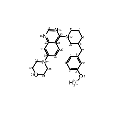 COc1cccc(CC2CCCN(c3ncnc4cc(N5CCOCC5)ccc34)C2)c1